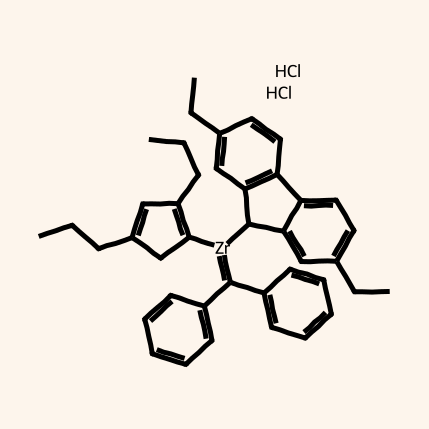 CCCC1=CC(CCC)=[C]([Zr](=[C](c2ccccc2)c2ccccc2)[CH]2c3cc(CC)ccc3-c3ccc(CC)cc32)C1.Cl.Cl